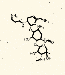 CN[C@@H]1[C@@H](O)[C@@H](O[C@H]2[C@H](NC=O)C[C@H](N)C(O[C@H]3OC(CN)=CC[C@H]3NCCCN)[C@@H]2O)OC[C@]1(C)O